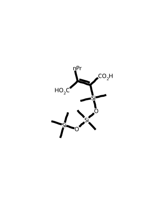 CCC/C(C(=O)O)=C(\C(=O)O)[Si](C)(C)O[Si](C)(C)O[Si](C)(C)C